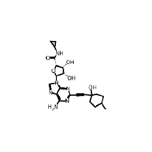 CC1CCC(O)(C#Cc2nc(N)c3ncn(C4O[C@H](C(=O)NC5CC5)[C@H](O)[C@@H]4O)c3n2)CC1